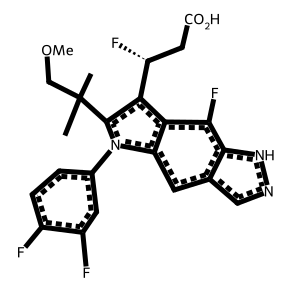 COCC(C)(C)c1c([C@H](F)CC(=O)O)c2c(F)c3[nH]ncc3cc2n1-c1ccc(F)c(F)c1